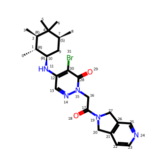 C[C@@H]1[C@@H](C)C(C)(C)[C@@H](C)C[C@H]1Nc1cnn(CC(=O)N2Cc3ccncc3C2)c(=O)c1Br